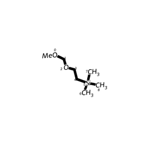 COCOCC[Si](C)(C)C